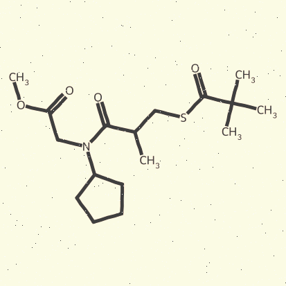 COC(=O)CN(C(=O)C(C)CSC(=O)C(C)(C)C)C1CCCC1